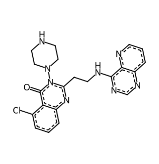 O=c1c2c(Cl)cccc2nc(CCNc2ncnc3cccnc23)n1N1CCNCC1